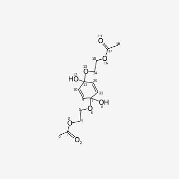 CC(=O)OCCOC1(O)C=CC(O)(OCCOC(C)=O)C=C1